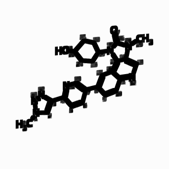 Cn1cc(-c2ccc(-c3ccc4ncc5c(c4c3)n(C3CCC(O)CC3)c(=O)n5C)cn2)nn1